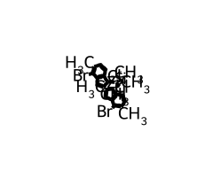 CC1=Cc2c(ccc(C)c2Br)[CH]1[Zr]([Cl])([Cl])([CH]1C(C)=Cc2c1ccc(C)c2Br)[SiH](C)C